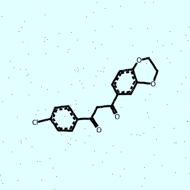 O=C(CC(=O)c1ccc2c(c1)OCCO2)c1ccc(Cl)cc1